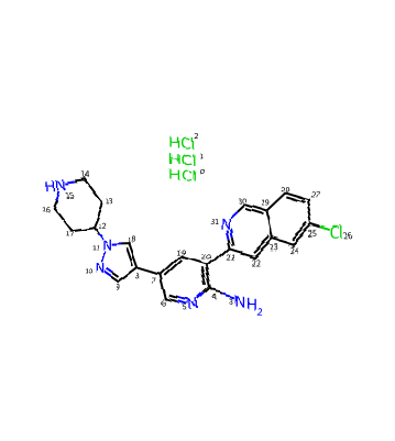 Cl.Cl.Cl.Nc1ncc(-c2cnn(C3CCNCC3)c2)cc1-c1cc2cc(Cl)ccc2cn1